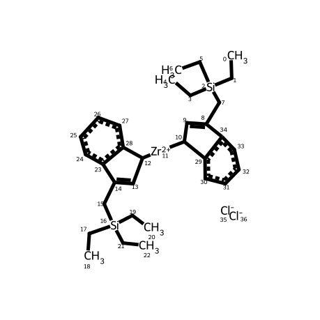 CC[Si](CC)(CC)CC1=C[CH]([Zr+2][CH]2C=C(C[Si](CC)(CC)CC)c3ccccc32)c2ccccc21.[Cl-].[Cl-]